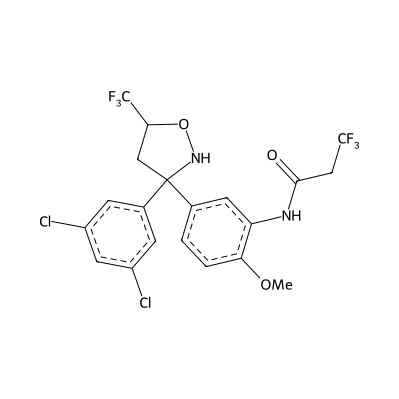 COc1ccc(C2(c3cc(Cl)cc(Cl)c3)CC(C(F)(F)F)ON2)cc1NC(=O)CC(F)(F)F